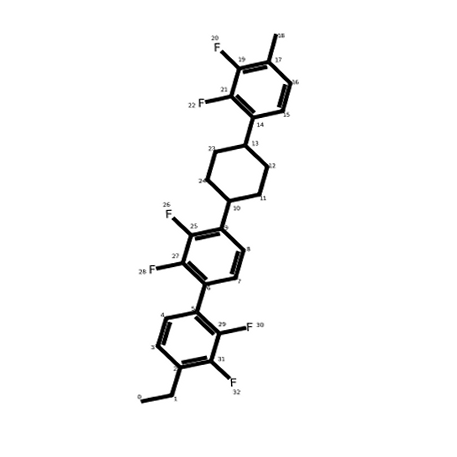 CCc1ccc(-c2ccc(C3CCC(c4ccc(C)c(F)c4F)CC3)c(F)c2F)c(F)c1F